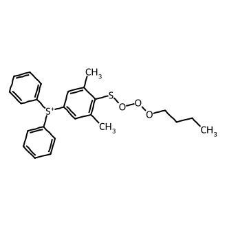 CCCCOOOSc1c(C)cc([S+](c2ccccc2)c2ccccc2)cc1C